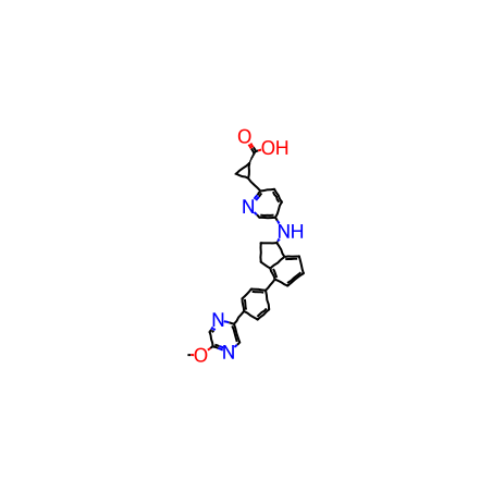 COc1cnc(-c2ccc(-c3cccc4c3CC[C@H]4Nc3ccc(C4C[C@H]4C(=O)O)nc3)cc2)cn1